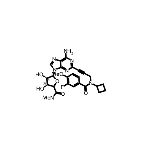 CNC(=O)C1OC(n2cnc3c(N)nc(C#CCN(C(=O)c4ccc(OC)c(F)c4)C4CCC4)nc32)[C@H](O)[C@@H]1O